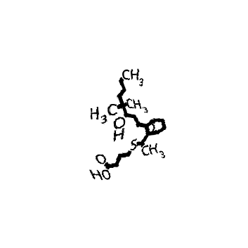 CCCCC(C)(C)C(O)CCC1C2CCC(O2)C1C(C)SCCCC(=O)O